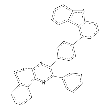 c1ccc(-c2nc3c(ccc4ccccc43)nc2-c2ccc(-c3cccc4sc5ccccc5c34)cc2)cc1